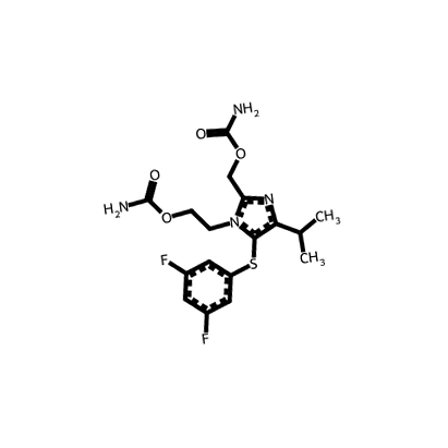 CC(C)c1nc(COC(N)=O)n(CCOC(N)=O)c1Sc1cc(F)cc(F)c1